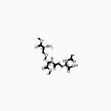 COC(=O)[C@H](N)COC[C@H](NC(=O)CC[C@@H](NC(C)=O)C(=O)O)C(=O)OC